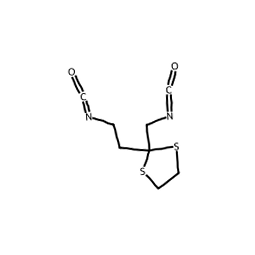 O=C=NCCC1(CN=C=O)SCCS1